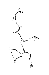 C=NC1(C(CCC)CCCS)CC1